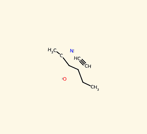 C#C.CCCCCC.[N].[O]